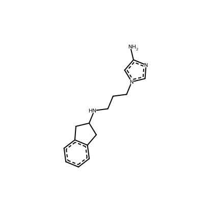 Nc1cn(CCCNC2Cc3ccccc3C2)cn1